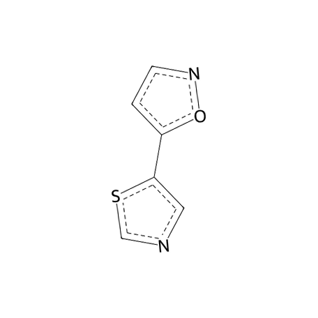 c1cc(-c2cncs2)on1